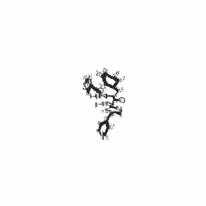 O=C(Nc1ncc(-c2ccncc2)s1)[C@H](Cc1ccccc1)NCc1cscn1